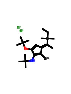 CC[Si](C)(C)C(C)=C1C=C(O[Si](C)(C)C)C(NC(C)(C)C)=[C]1[Zr+2].[Cl-].[Cl-]